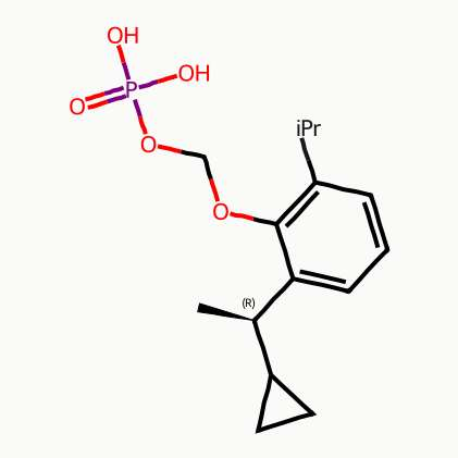 CC(C)c1cccc([C@H](C)C2CC2)c1OCOP(=O)(O)O